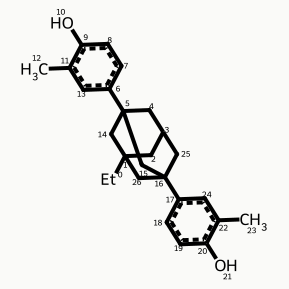 CCC12CC3CC(c4ccc(O)c(C)c4)(C1)CC(c1ccc(O)c(C)c1)(C3)C2